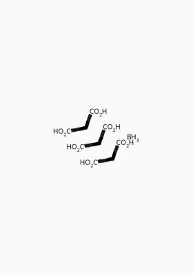 B.O=C(O)CC(=O)O.O=C(O)CC(=O)O.O=C(O)CC(=O)O